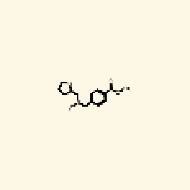 COC(=O)c1ccc(CN(C)CC2CCCO2)cc1